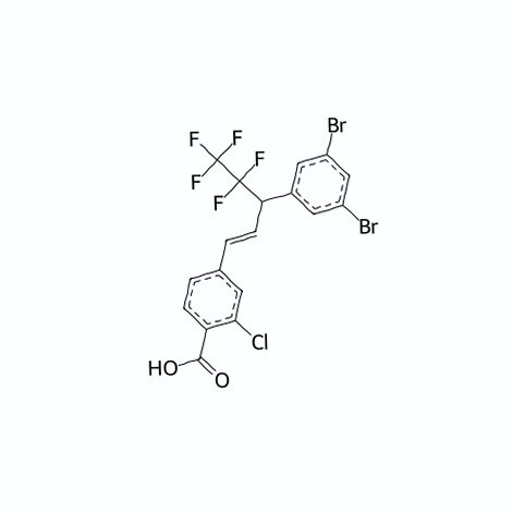 O=C(O)c1ccc(/C=C/C(c2cc(Br)cc(Br)c2)C(F)(F)C(F)(F)F)cc1Cl